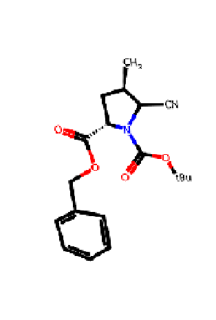 C[C@@H]1C[C@@H](C(=O)OCc2ccccc2)N(C(=O)OC(C)(C)C)C1C#N